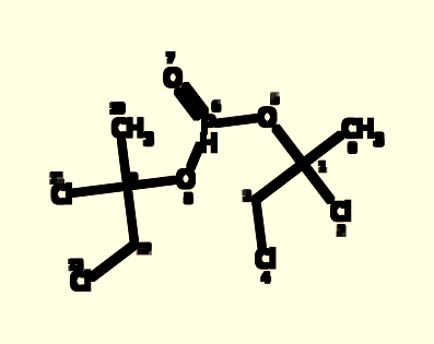 CC(Cl)(CCl)O[PH](=O)OC(C)(Cl)CCl